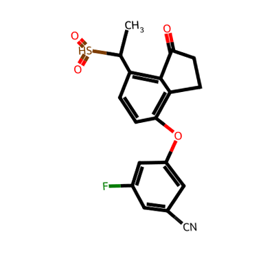 CC(c1ccc(Oc2cc(F)cc(C#N)c2)c2c1C(=O)CC2)[SH](=O)=O